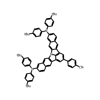 CC(C)(C)c1ccc(N(c2ccc(C(C)(C)C)cc2)c2ccc3cc4c5cc(-c6ccc(C#N)cc6)cc6c7cc8ccc(N(c9ccc(C(C)(C)C)cc9)c9ccc(C(C)(C)C)cc9)cc8cc7n(c4cc3c2)c56)cc1